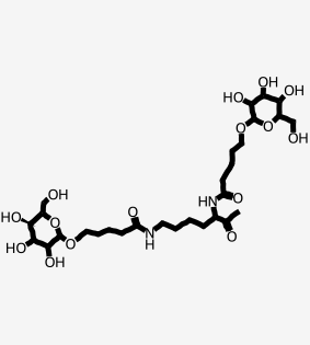 CC(=O)C(CCCCNC(=O)CCCCOC1OC(CO)[C@H](O)C(O)C1O)NC(=O)CCCCOC1OC(CO)C(O)C(O)C1O